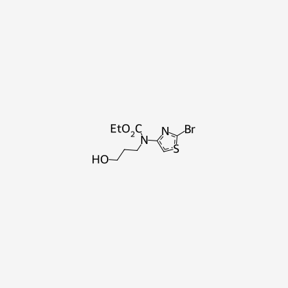 CCOC(=O)N(CCCO)c1csc(Br)n1